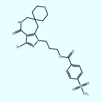 CCc1nn(CCCOC(=O)c2ccc(S(C)(=O)=O)cc2)c2c1C(=O)NCC1(CCOCC1)C2